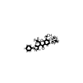 COc1c(OS(=O)(=O)C(F)(F)F)ccc2c(=O)c(-c3cnn(-c4ccccc4)c3)c(C(F)(F)F)oc12